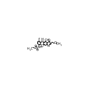 CCCS(=O)(=O)Nc1ccc(F)c(Nc2ccc3ncn(CCOC)c(=O)c3c2C)c1Cl